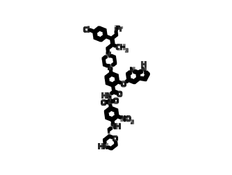 C/C(CN1CCN(c2ccc(C(=O)NS(=O)(=O)c3ccc(NC[C@H]4CNCCO4)c([N+](=O)[O-])c3)c(Oc3cnc4[nH]ccc4c3)c2)CC1)=C(\CC(C)C)c1ccc(Cl)cc1